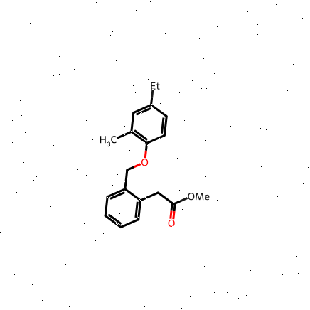 CCc1ccc(OCc2ccccc2CC(=O)OC)c(C)c1